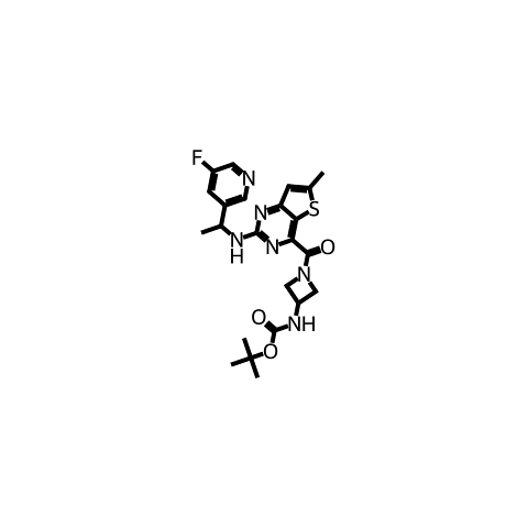 Cc1cc2nc(NC(C)c3cncc(F)c3)nc(C(=O)N3CC(NC(=O)OC(C)(C)C)C3)c2s1